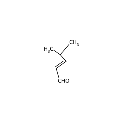 CC(C)C=CC=O